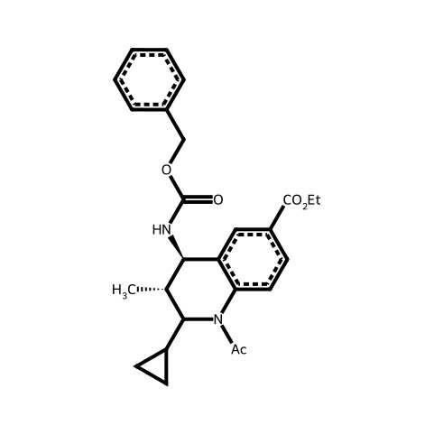 CCOC(=O)c1ccc2c(c1)[C@H](NC(=O)OCc1ccccc1)[C@@H](C)C(C1CC1)N2C(C)=O